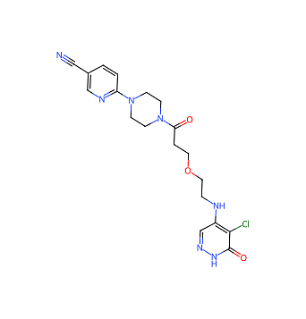 N#Cc1ccc(N2CCN(C(=O)CCOCCNc3cn[nH]c(=O)c3Cl)CC2)nc1